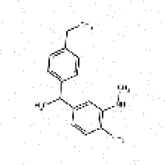 CCc1ccc(C(C)c2ccc(C)c(NC)c2)cc1